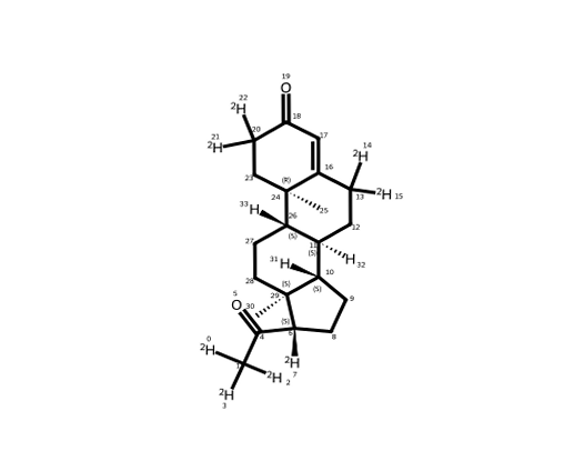 [2H]C([2H])([2H])C(=O)[C@@]1([2H])CC[C@H]2[C@@H]3CC([2H])([2H])C4=CC(=O)C([2H])([2H])C[C@]4(C)[C@H]3CC[C@@]21C